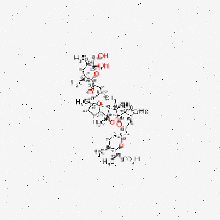 CO[C@@H]1C[C@@H](C[C@H]2CC[C@H](C)C([C@@H](C)C(=O)O)O2)O[C@]2(O[C@@](C)(C3CC[C@@](C)([C@@H]4O[C@@H]([C@@H]5O[C@@](O)(CO)[C@H](C)C[C@@H]5C)C[C@@H]4C)O3)C[C@H]2C)[C@@H]1C